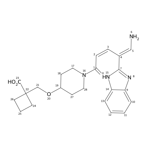 C=C(/C=C\C(=C/N)c1nc2ccccc2[nH]1)N1CCC(OCC2(C(=O)O)CCC2)CC1